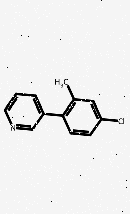 Cc1cc(Cl)ccc1-c1cccnc1